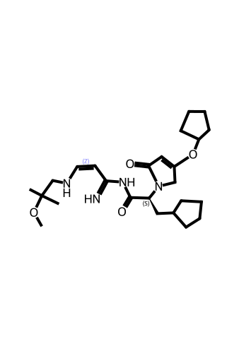 COC(C)(C)CN/C=C\C(=N)NC(=O)[C@H](CC1CCCC1)N1CC(OC2CCCC2)=CC1=O